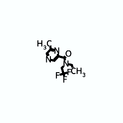 CCN(CC(F)(F)F)C(=O)c1cncc(C)n1